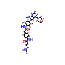 Cc1cc(-c2cc3c(N4CCOCC4)ncnc3[nH]2)ccc1NC(=O)Cc1ccc(NC(=O)/C=C/CN(C)C)cc1